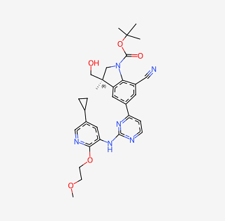 COCCOc1ncc(C2CC2)cc1Nc1nccc(-c2cc(C#N)c3c(c2)[C@@](C)(CO)CN3C(=O)OC(C)(C)C)n1